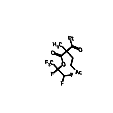 CCC(=O)C(C)(CCC(C)=O)C(=O)OC(F)(C(F)F)C(F)(F)F